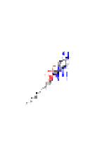 CCCCCCCCCCCC(=O)NC(=S)Nc1ccc(N(C)C)cc1